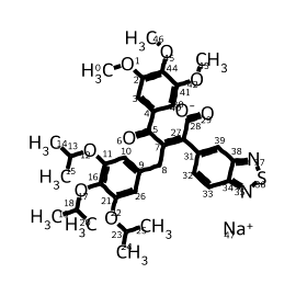 COc1cc(C(=O)C(Cc2cc(OC(C)C)c(OC(C)C)c(OC(C)C)c2)=C(C(=O)[O-])c2ccc3nsnc3c2)cc(OC)c1OC.[Na+]